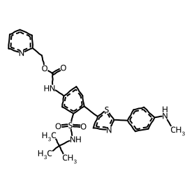 CNc1ccc(-c2ncc(-c3ccc(NC(=O)OCc4ccccn4)cc3S(=O)(=O)NC(C)(C)C)s2)cc1